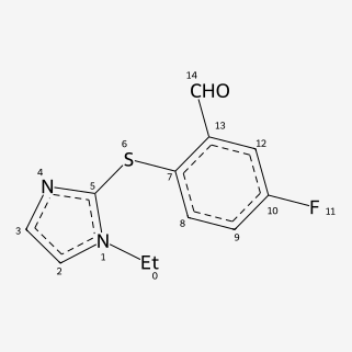 CCn1ccnc1Sc1ccc(F)cc1C=O